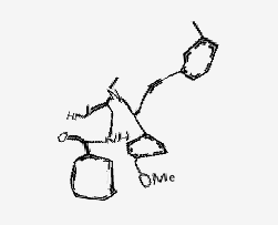 COc1ccc(C(C#Cc2cccc(C)c2)N(C)C(=N)NC(=O)c2ccccc2)cc1